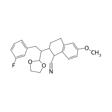 COc1ccc2c(c1)CCC(C(Cc1cccc(F)c1)C1OCCO1)C2C#N